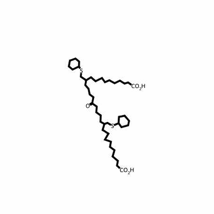 O=C(O)CCCCCCCCCC(CCCCC(=O)CCCCC(CCCCCCCCCC(=O)O)CSC1CCCCC1)CSC1CCCCC1